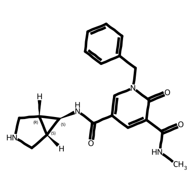 CNC(=O)c1cc(C(=O)N[C@H]2[C@@H]3CNC[C@@H]32)cn(Cc2ccccc2)c1=O